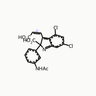 CC(=O)Nc1cccc(C2(C(=O)O)N=c3cc(Cl)cc(Cl)c3=C2/C=C\C(=O)O)c1